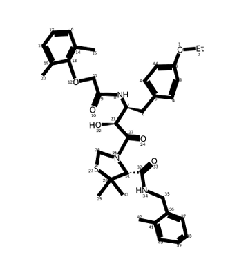 CCOc1ccc(C[C@H](NC(=O)COc2c(C)cccc2C)[C@H](O)C(=O)N2CSC(C)(C)[C@H]2C(=O)NCc2ccccc2C)cc1